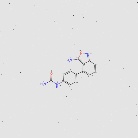 NC(=O)Nc1ccc(-c2cccc3noc(N)c23)cc1